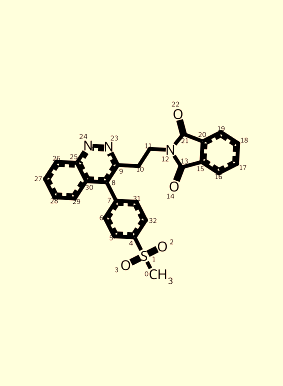 CS(=O)(=O)c1ccc(-c2c(CCN3C(=O)c4ccccc4C3=O)nnc3ccccc23)cc1